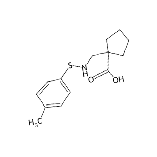 Cc1ccc(SNCC2(C(=O)O)CCCC2)cc1